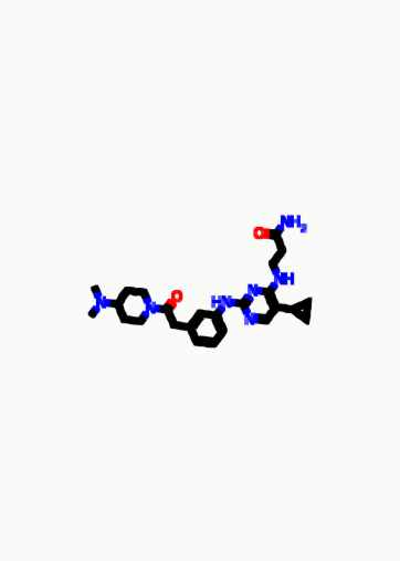 CN(C)C1CCN(C(=O)Cc2cccc(Nc3ncc(C4CC4)c(NCCC(N)=O)n3)c2)CC1